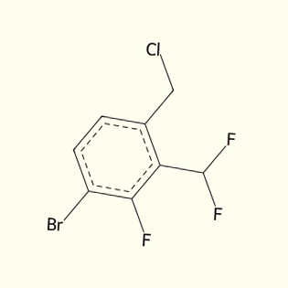 Fc1c(Br)ccc(CCl)c1C(F)F